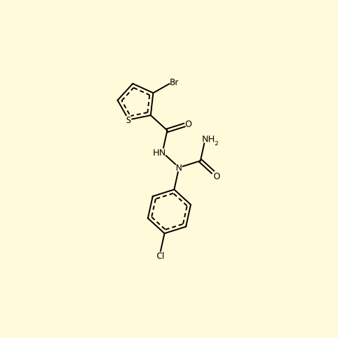 NC(=O)N(NC(=O)c1sccc1Br)c1ccc(Cl)cc1